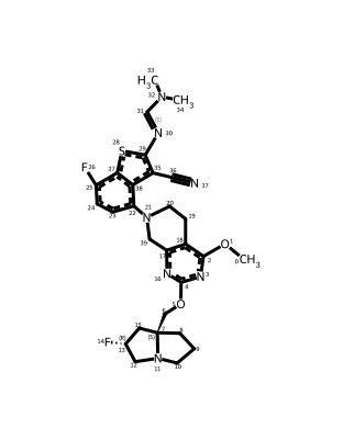 COc1nc(OC[C@@]23CCCN2C[C@H](F)C3)nc2c1CCN(c1ccc(F)c3sc(/N=C/N(C)C)c(C#N)c13)C2